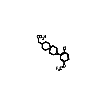 O=C(O)CC1CCC2(CC1)CCN(c1cc(OC(F)(F)F)ccc1Cl)CC2